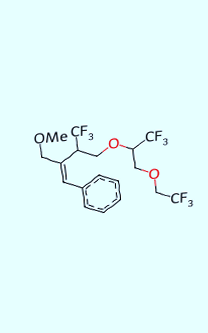 COCC(=Cc1ccccc1)C(COC(COCC(F)(F)F)C(F)(F)F)C(F)(F)F